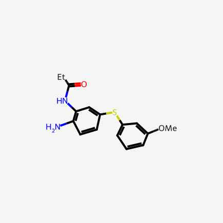 CCC(=O)Nc1cc(Sc2cccc(OC)c2)ccc1N